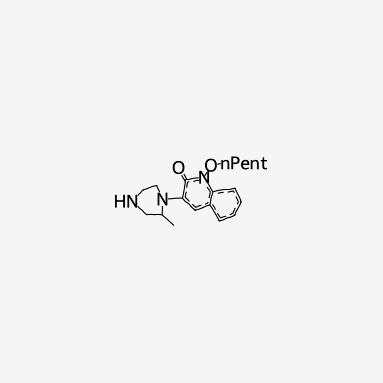 CCCCCOn1c(=O)c(N2CCNCC2C)cc2ccccc21